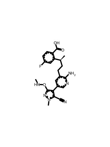 CNOc1nn(C)c(C#N)c1-c1cnc(N)c(CC[C@H](C)c2cc(F)ccc2C(=O)O)c1